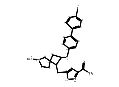 NC(=O)c1cc(CC2C(Oc3ccc(-c4ccc(F)cc4)cc3)CC23CCN(C(=O)O)C3)on1